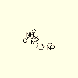 NC(=O)c1nc(-c2cccc(-c3ccon3)c2)sc1C1CCC1